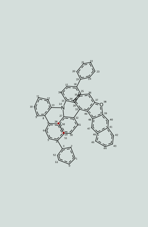 c1ccc(-c2ccc(-c3ccccc3N(c3ccc(-c4ccccc4)cc3)c3ccccc3-c3cccc4oc5cc6ccccc6cc5c34)cc2)cc1